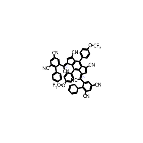 N#CC1=C/C(=C(/C#N)c2cc(C#N)cc(C#N)c2-c2ccccc2)c2c1c(-c1ccc(OC(F)(F)F)cc1)c1c(c2-c2ccc(OC(F)(F)F)cc2)/C(=C(\C#N)c2cc(C#N)cc(C#N)c2C2C=CC=CC2)C=C1C#N